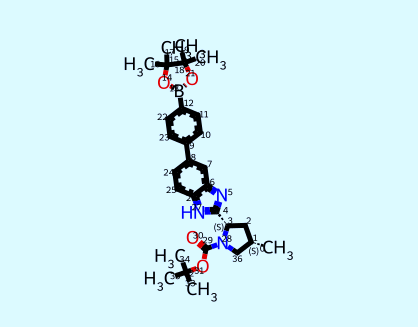 C[C@H]1C[C@@H](c2nc3cc(-c4ccc(B5OC(C)(C)C(C)(C)O5)cc4)ccc3[nH]2)N(C(=O)OC(C)(C)C)C1